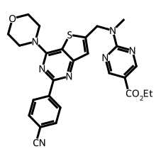 CCOC(=O)c1cnc(N(C)Cc2cc3nc(-c4ccc(C#N)cc4)nc(N4CCOCC4)c3s2)nc1